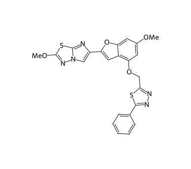 COc1cc(OCc2nnc(-c3ccccc3)s2)c2cc(-c3cn4nc(OC)sc4n3)oc2c1